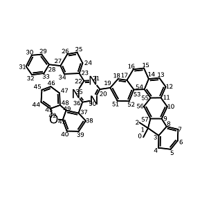 CC1(C)c2ccccc2-c2cc3ccc4ccc5cc(-c6nc(-c7cccc(-c8ccccc8)c7)nc(-c7cccc8oc9ccccc9c78)n6)ccc5c4c3cc21